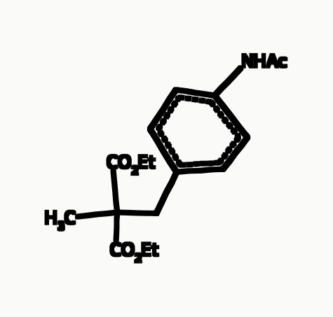 CCOC(=O)C(C)(Cc1ccc(NC(C)=O)cc1)C(=O)OCC